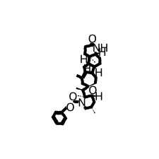 CC1=C2C[C@H]3[C@@H](CC[C@H]4NC(=O)CC[C@@]43C)[C@@H]2CC[C@@]2(C1)O[C@@H]1C[C@H](C)CN(C(=O)OCc3ccccc3)[C@@]1(C)[C@H]2C